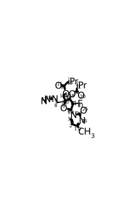 Cc1ccn([C@@H]2O[C@](CN=[N+]=[N-])(COC(=O)C(C)C)[C@@H](OC(=O)C(C)C)[C@H]2F)c(=O)n1